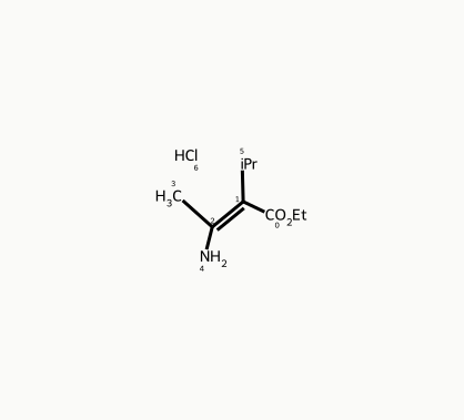 CCOC(=O)C(=C(C)N)C(C)C.Cl